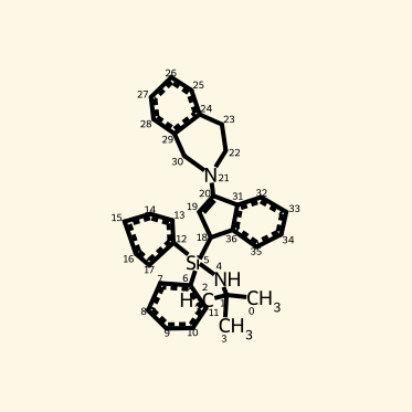 CC(C)(C)N[Si](c1ccccc1)(c1ccccc1)C1C=C(N2CCc3ccccc3C2)c2ccccc21